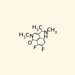 CNC(C)c1cn(C)c(=O)c2c(F)c(F)ccc12